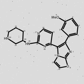 COc1cccc(-c2nc3occn3c2-c2ccnc(N[C@@H]3CCCNC3)n2)c1